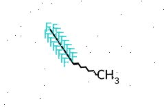 CCCCCCC=CC(F)(F)C(F)(F)C(F)(F)C(F)(F)C(F)(F)C(F)(F)C(F)(F)C(F)(F)F